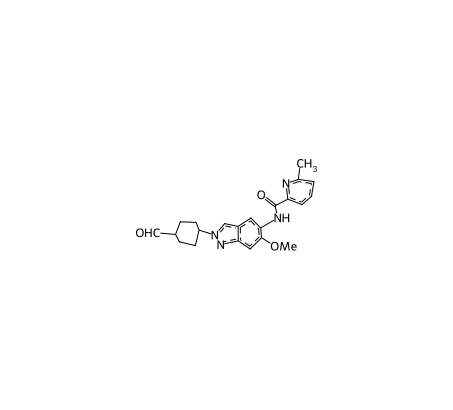 COc1cc2nn(C3CCC(C=O)CC3)cc2cc1NC(=O)c1cccc(C)n1